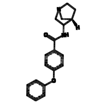 O=C(NC1CN2CC[C@H]1C2)c1ccc(Oc2ccccc2)cc1